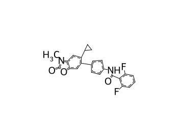 Cn1c(=O)oc2cc(-c3ccc(NC(=O)c4c(F)cccc4F)cc3)c(C3CC3)cc21